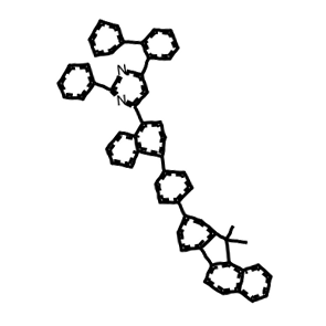 CC1(C)c2cc(-c3ccc(-c4ccc(-c5cc(-c6ccccc6-c6ccccc6)nc(-c6ccccc6)n5)c5ccccc45)cc3)ccc2-c2ccc3ccccc3c21